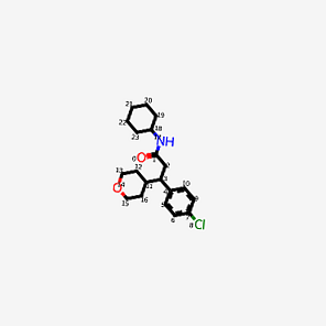 O=C(CC(c1ccc(Cl)cc1)C1CCOCC1)NC1CCCCC1